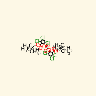 CC(C)C(C)(C)CCOC(=O)c1c(Cl)c(Cl)cc(Cl)c1OC(=O)C(=O)Oc1c(Cl)cc(Cl)c(Cl)c1C(=O)OCCC(C)(C)C(C)C